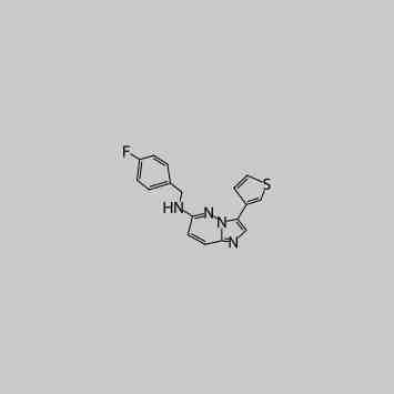 Fc1ccc(CNc2ccc3ncc(-c4ccsc4)n3n2)cc1